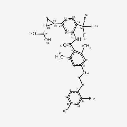 Cc1cc(OCCc2ccc(F)cc2F)cc(C)c1C(=O)Nc1cc([C@H]2C[C@H]2C(=O)O)ccc1C(F)(F)F